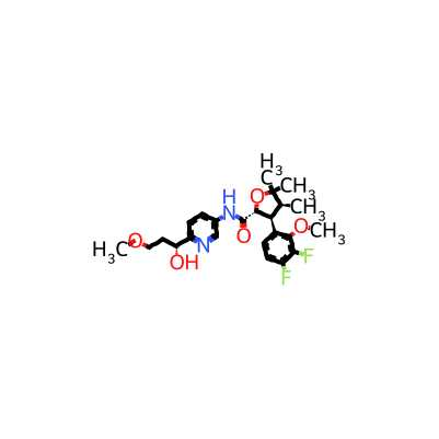 COCC[C@@H](O)c1ccc(NC(=O)[C@@H]2OC(C)(C)[C@@H](C)[C@H]2c2ccc(F)c(F)c2OC)cn1